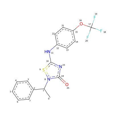 CC(c1ccccc1)n1sc(Nc2ccc(OC(F)(F)F)cc2)nc1=O